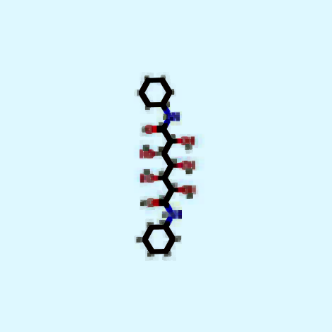 O=C(NC1CCCCC1)C(O)[C@@H](O)[C@@H](O)[C@H](O)[C@@H](O)C(=O)NC1CCCCC1